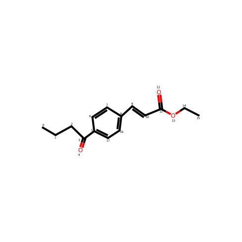 CCCC(=O)c1ccc(C=CC(=O)OCC)cc1